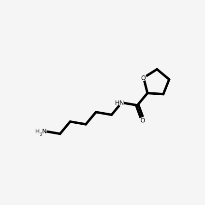 NCCCCCNC(=O)C1CCCO1